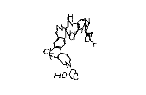 O[C@H]1COC[C@H]1N1CC[C@@H](c2cc3nc(Nc4cnn(C56CC(F)(C5)C6)c4Cl)ncc3cc2Cl)[C@H](F)C1